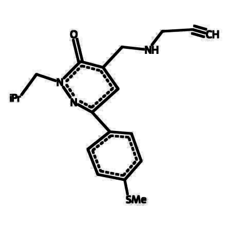 C#CCNCc1cc(-c2ccc(SC)cc2)nn(CC(C)C)c1=O